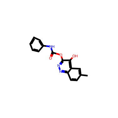 Cc1ccc2nnc(OC(=O)Nc3ccccc3)c(O)c2c1